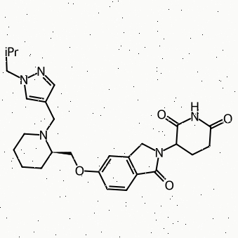 CC(C)Cn1cc(CN2CCCC[C@@H]2COc2ccc3c(c2)CN(C2CCC(=O)NC2=O)C3=O)cn1